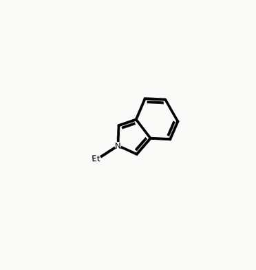 [CH2]Cn1cc2ccccc2c1